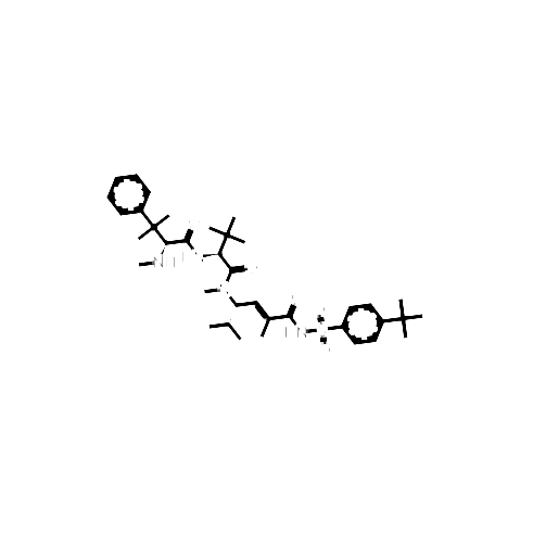 CN[C@H](C(=O)N[C@H](C(=O)N(C)[C@H](/C=C(\C)C(=O)NS(=O)(=O)c1ccc(C(C)(C)C)cc1)C(C)C)C(C)(C)C)C(C)(C)c1ccccc1